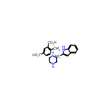 C1CNCCN1.Cc1ccc(C(=O)O)cc1C(=O)O.N#Cc1cc2ccccc2[nH]1